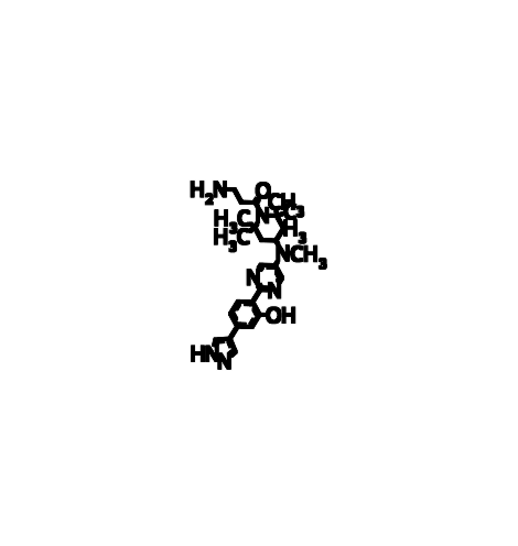 CN(c1cnc(-c2ccc(-c3cn[nH]c3)cc2O)nc1)C1CC(C)(C)N(C(=O)CCN)C(C)(C)C1